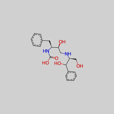 O=C(O)N[C@@H](Cc1ccccc1)[C@@H](O)CN[C@@H](CO)C(O)c1ccccc1